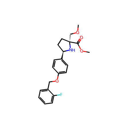 COC[C@@]1(C(=O)OC)CC[C@H](c2ccc(OCc3ccccc3F)cc2)N1